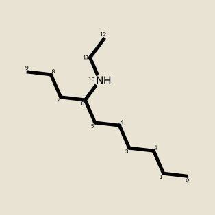 CCCCCCC(CCC)NCC